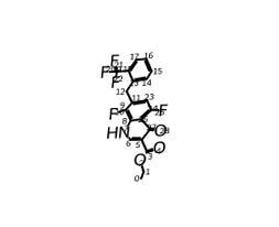 CCOC(=O)c1c[nH]c2c(F)c(Cc3ccccc3C(F)(F)F)cc(F)c2c1=O